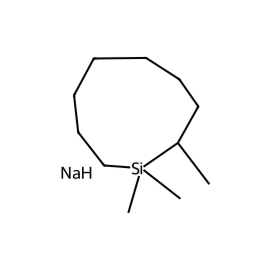 CC1CCCCCCC[Si]1(C)C.[NaH]